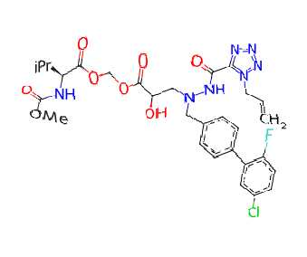 C=CCn1nnnc1C(=O)NN(Cc1ccc(-c2cc(Cl)ccc2F)cc1)C[C@@H](O)C(=O)OCOC(=O)[C@@H](NC(=O)OC)C(C)C